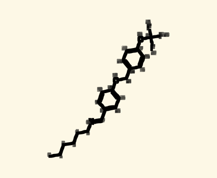 CCCCCCN=Cc1ccc(OCc2ccc(OC(F)(F)F)cc2)cc1